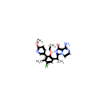 CCOc1c(C(C)c2nc(Br)c3c(N)nccn23)cc(Cl)c(C)c1-c1ccc(OC)nc1